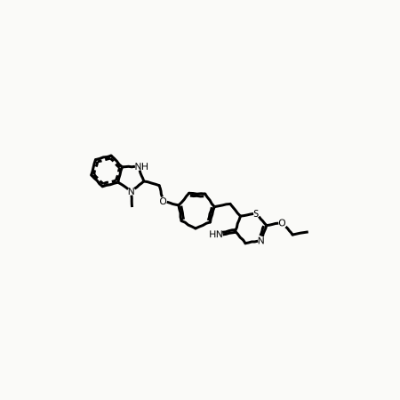 CCOC1=NCC(=N)C(CC2=CCC=C(OCC3Nc4ccccc4N3C)C=C2)S1